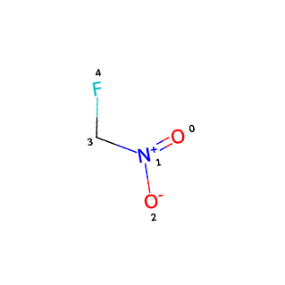 O=[N+]([O-])CF